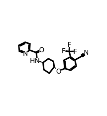 N#Cc1ccc(O[C@H]2CC[C@H](NC(=O)c3ccccn3)CC2)cc1C(F)(F)F